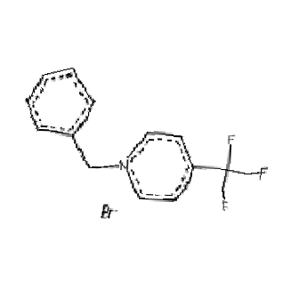 FC(F)(F)c1cc[n+](Cc2ccccc2)cc1.[Br-]